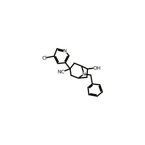 N#CC1(c2cncc(Cl)c2)CC2CC(O)C(C1)N2Cc1ccccc1